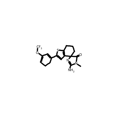 CN1C(=O)C2(CCCc3sc(C4=CC(OC(F)(F)F)=CCC4)cc32)N=C1N